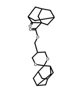 O=C(OCC1COC2(OC1)C1CC3CC(C1)CC2C3)C12CC3CC(CC(C3)C1=O)C2